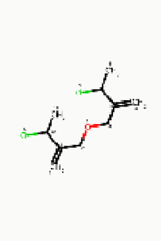 C=C(COCC(=C)C(C)Cl)C(C)Cl